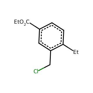 CCOC(=O)c1ccc(CC)c(CCl)c1